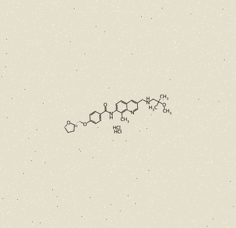 COC(C)(C)CNCc1cnc2c(C)c(NC(=O)c3ccc(OC[C@@H]4CCCO4)cc3)ccc2c1.Cl.Cl